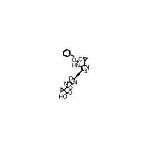 O=C(Nc1c(C2CC2)nsc1C#Cc1nc2oc(C3(C(=O)O)CC3)nc2o1)OCc1ccccc1